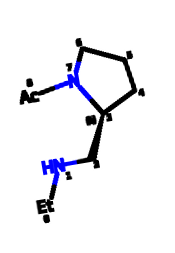 CCNC[C@@H]1CCCN1C(C)=O